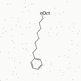 CCCCCCCCCCCCCCCCc1c[c]ccc1